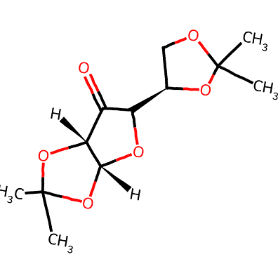 CC1(C)O[C@H]2OC([C@H]3COC(C)(C)O3)C(=O)[C@H]2O1